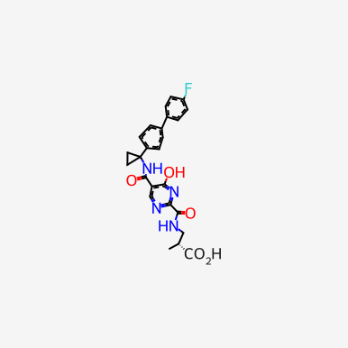 C[C@H](CNC(=O)c1ncc(C(=O)NC2(c3ccc(-c4ccc(F)cc4)cc3)CC2)c(O)n1)C(=O)O